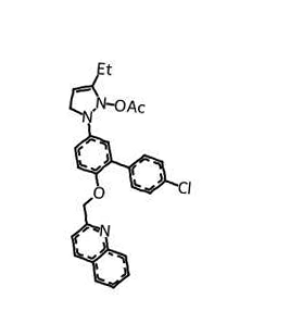 CCC1=CCN(c2ccc(OCc3ccc4ccccc4n3)c(-c3ccc(Cl)cc3)c2)N1OC(C)=O